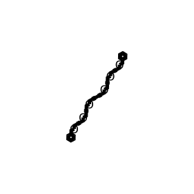 C(C#CCOCC#CCOCC#CCOCc1ccccc1)#CCOCC#CCOCC#CCOCc1ccccc1